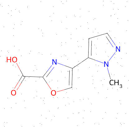 Cn1nccc1-c1coc(C(=O)O)n1